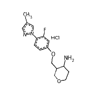 Cc1cnn(-c2ccc(OCC3COCCC3N)cc2F)c1.Cl